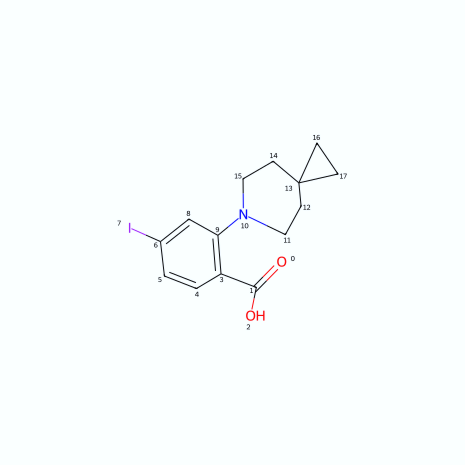 O=C(O)c1ccc(I)cc1N1CCC2(CC1)CC2